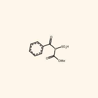 COC(=O)N(C(=O)c1ccccc1)S(=O)(=O)O